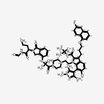 CCCC(C(=O)NC=O)N1Cc2c(OC(C)(C)C(=O)N3CCN(CCn4c(C(=O)OC(C)(C)C)c(CCCOc5cccc6cc(F)ccc56)c5ccc(Cl)c(-c6c(C)nn(C)c6C)c54)CC3)cccc2C1=O